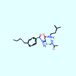 CCCCc1ccc(C(=O)N[C@@H](CNC(C)=O)C(=O)N[CH]CC(C)C)cc1